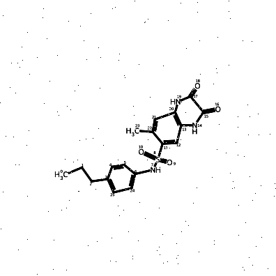 CCCc1ccc(NS(=O)(=O)c2cc3[nH]c(=O)c(=O)[nH]c3cc2C)cc1